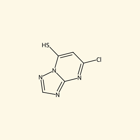 Sc1cc(Cl)nc2ncnn12